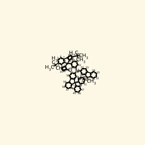 CC(C)(C)c1ccc2c(c1)C1(c3ccccc3Oc3c(N(c4ccc5c(c4)C(C)(C)c4ccccc4-5)c4ccc5c(c4)C(c4ccccc4)(c4ccccc4)c4ccccc4-5)cccc31)c1cc(C(C)(C)C)ccc1-2